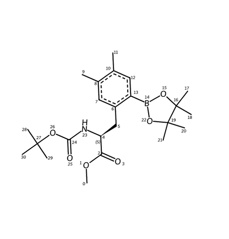 COC(=O)[C@H](Cc1cc(C)c(C)cc1B1OC(C)(C)C(C)(C)O1)NC(=O)OC(C)(C)C